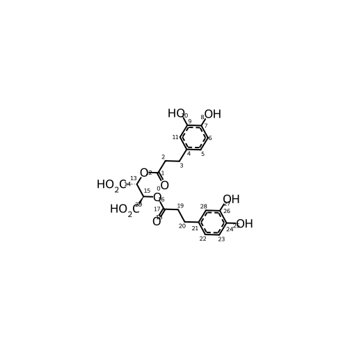 O=C(CCc1ccc(O)c(O)c1)O[C@@H](C(=O)O)[C@@H](OC(=O)CCc1ccc(O)c(O)c1)C(=O)O